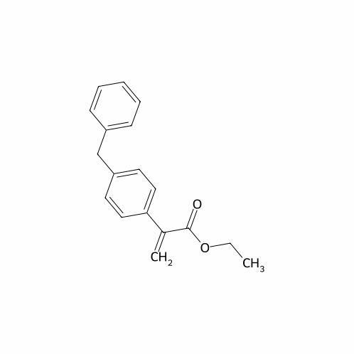 C=C(C(=O)OCC)c1ccc(Cc2ccccc2)cc1